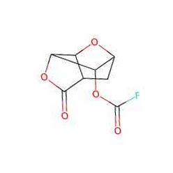 O=C(F)OC1C2CC3C(=O)OC1C3O2